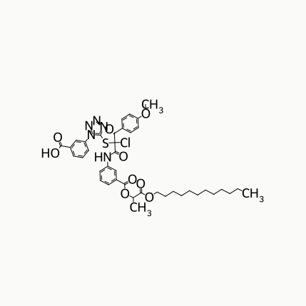 CCCCCCCCCCCCOC(=O)C(C)OC(=O)c1cccc(NC(=O)C(Cl)(Sc2nnnn2-c2cccc(C(=O)O)c2)C(=O)c2ccc(OC)cc2)c1